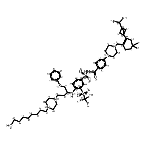 CC1(C)CCC(CN2CCN(c3ccc(C(=O)NS(=O)(=O)c4ccc(NC(CCN5CCN(CCCCCCCCO)CC5)CSc5ccccc5)c(S(=O)(=O)C(F)(F)F)c4)cc3)CC2)=C(C23CC(C(F)F)(C2)C3)C1